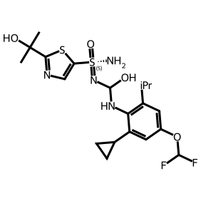 CC(C)c1cc(OC(F)F)cc(C2CC2)c1NC(O)N=[S@](N)(=O)c1cnc(C(C)(C)O)s1